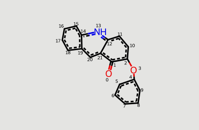 O=c1c(Oc2ccccc2)ccc2[nH]c3ccccc3cc1-2